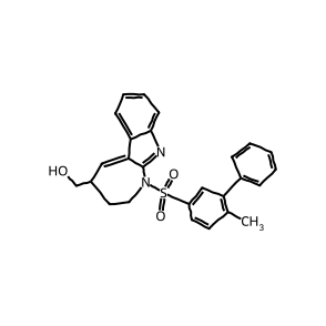 Cc1ccc(S(=O)(=O)N2CCC(CO)C=C3C2=Nc2ccccc23)cc1-c1ccccc1